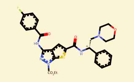 CCOC(=O)n1nc(NC(=O)c2ccc(F)cc2)c2cc(C(=O)N[C@H](CN3CCOCC3)c3ccccc3)sc21